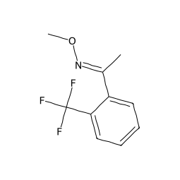 CON=C(C)c1ccccc1C(F)(F)F